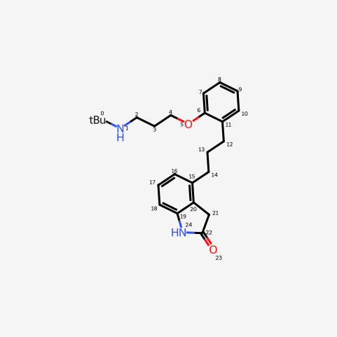 CC(C)(C)NCCCOc1ccccc1CCCc1cccc2c1CC(=O)N2